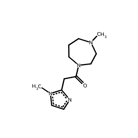 CN1CCCN(C(=O)Cc2nccn2C)CC1